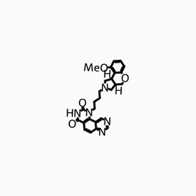 COc1cccc2c1[C@@H]1CN(CCCCn3c(=O)[nH]c(=O)c4ccc5ncncc5c43)C[C@H]1CO2